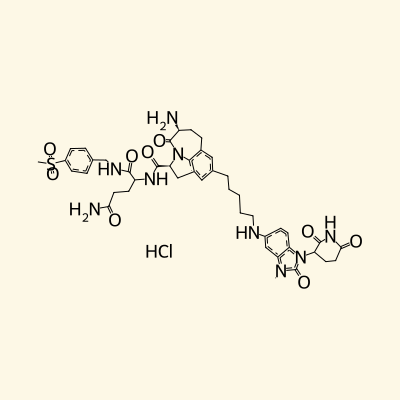 Cl.Cn1c(=O)n(C2CCC(=O)NC2=O)c2ccc(NCCCCCc3cc4c5c(c3)C[C@@H](C(=O)NC(CCC(N)=O)C(=O)NCc3ccc(S(C)(=O)=O)cc3)N5C(=O)[C@@H](N)CC4)cc21